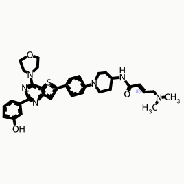 CN(C)C/C=C/C(=O)NC1CCN(c2ccc(-c3cc4nc(-c5cccc(O)c5)nc(N5CCOCC5)c4s3)cc2)CC1